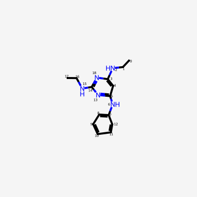 CCNc1cc(Nc2ccccc2)nc(NCC)n1